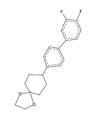 Fc1ccc(-c2ccc(C3CCC4(CC3)OCCO4)cc2)cc1F